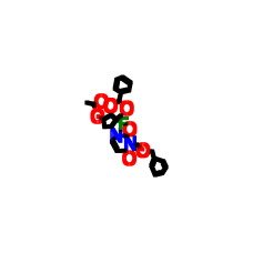 CC(=O)OC1CC(n2ccc(=O)n(COCc3ccccc3)c2=O)C(C)(F)C1OC(=O)c1ccccc1